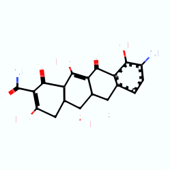 C[C@H]1c2ccc(N)c(O)c2C(=O)C2=C(O)C3C(=O)C(C(N)=O)=C(O)CC3[C@@H](O)C21